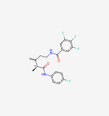 C=C(CCNC(=O)c1cc(F)c(F)c(F)c1)[C@H](C)C(=O)Nc1ccc(F)cc1